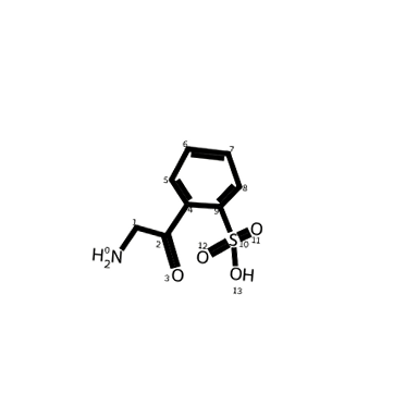 NCC(=O)c1ccccc1S(=O)(=O)O